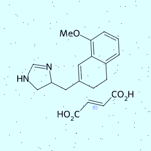 COc1cccc2c1C=C(CC1CNC=N1)CC2.O=C(O)/C=C/C(=O)O